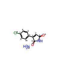 O=C1C=C(c2ccc(Cl)cc2)C(=O)N1.[2NH3]